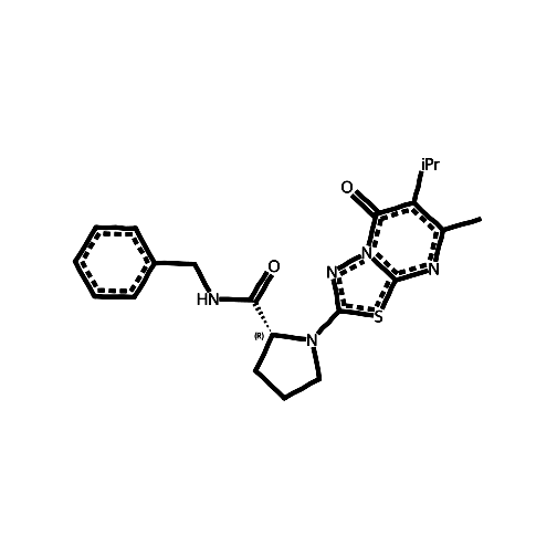 Cc1nc2sc(N3CCC[C@@H]3C(=O)NCc3ccccc3)nn2c(=O)c1C(C)C